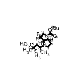 C[C@@H](CC(C)(C)C(=O)O)N1CC[C@H]2[C@@H]1C(F)(F)CN2C(=O)OC(C)(C)C